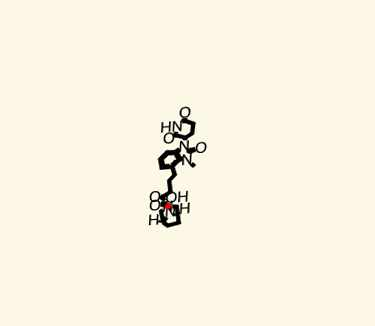 Cn1c(=O)n(C2CCC(=O)NC2=O)c2cccc(CCCC(=O)N3C[C@H]4CC[C@@H](C3)N4C(=O)O)c21